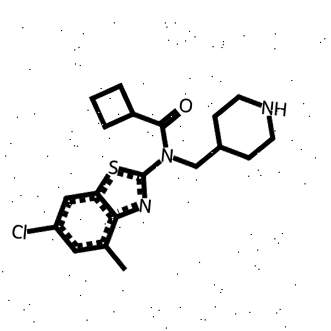 Cc1cc(Cl)cc2sc(N(CC3CCNCC3)C(=O)C3CCC3)nc12